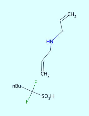 C=CCNCC=C.CCCCC(F)(F)S(=O)(=O)O